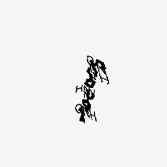 O=C(Nc1ccc(-c2ccnc(Nc3ccc(N4CCN(C(=O)C5CCCN5)CC4)cc3)n2)cc1)C1CC1